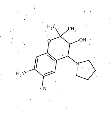 CC1(C)Oc2cc(N)c(C#N)cc2C(N2CCCC2)C1O